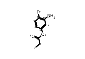 CCC(=O)Oc1ccc(F)c(N)c1